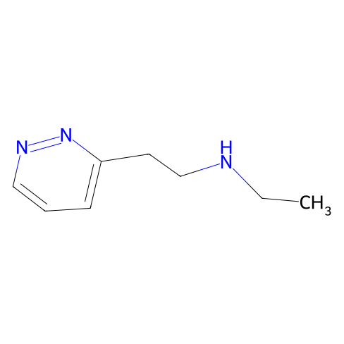 CCNCCc1cccnn1